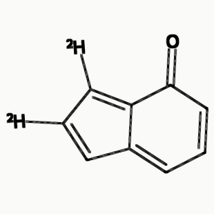 [2H]C1=CC2=CC=CC(=O)C2=C1[2H]